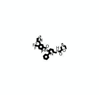 CN1CCOC(C(=O)NCc2ccc(NC(=O)c3cc(-c4ccn(C)n4)c(C(F)(F)F)cc3F)c(-c3ccccc3)n2)C1